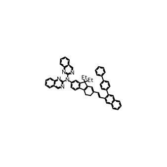 CCC1(CC)C2=C(CCC(/C=C/c3cc4ccccc4cc3-c3ccc(-c4ccccc4)cc3)=C2)c2ccc(N(c3ncc4ccccc4n3)c3ncc4ccccc4n3)cc21